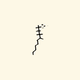 CCCCCCC(F)C(F)(F)C(F)(F)C(F)(F)S(=O)(=O)O